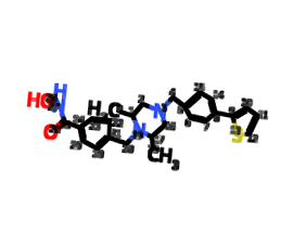 CC1CN(Cc2ccc(-c3cccs3)cc2)CC(C)N1Cc1ccc(C(=O)NO)cc1